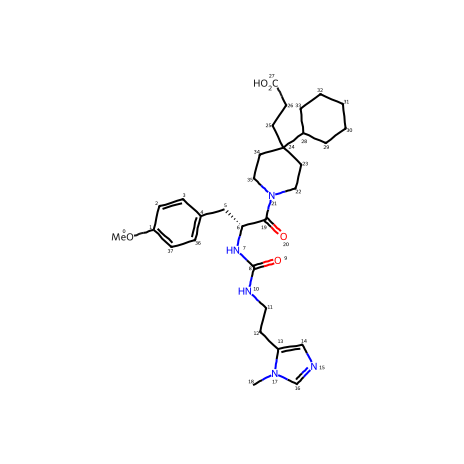 COc1ccc(C[C@@H](NC(=O)NCCc2cncn2C)C(=O)N2CCC(CCC(=O)O)(C3CCCCC3)CC2)cc1